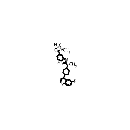 C[C@@H](c1nc2cc(C(=O)N(C)C)ccc2[nH]1)C1CCC(c2ccnc3ccc(F)cc23)CC1